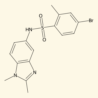 Cc1cc(Br)ccc1S(=O)(=O)Nc1ccc2c(c1)nc(C)n2C